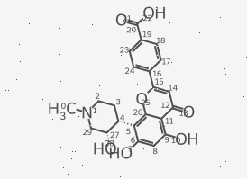 CN1CC[C@H](c2c(O)cc(O)c3c(=O)cc(-c4ccc(C(=O)O)cc4)oc23)[C@H](O)C1